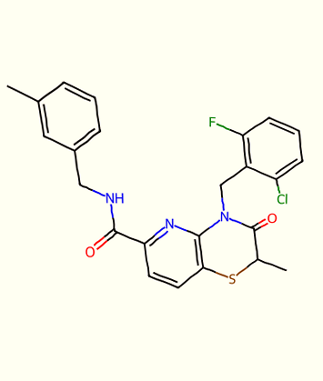 Cc1cccc(CNC(=O)c2ccc3c(n2)N(Cc2c(F)cccc2Cl)C(=O)C(C)S3)c1